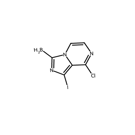 Bc1nc(I)c2c(Cl)nccn12